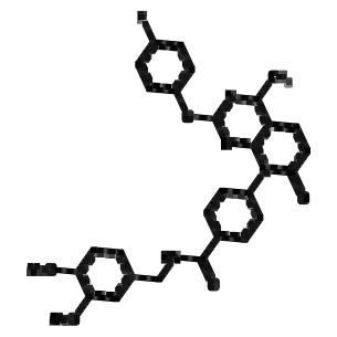 COc1ccc(CNC(=O)c2ccc(-n3c(=O)ccc4c(C)nc(Oc5ccc(F)cc5)nc43)cc2)cc1OC